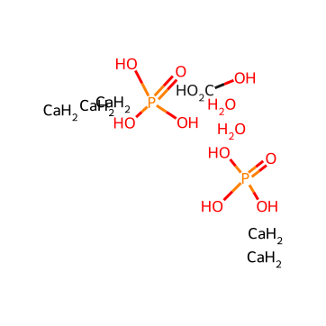 O.O.O=C(O)O.O=P(O)(O)O.O=P(O)(O)O.[CaH2].[CaH2].[CaH2].[CaH2].[CaH2]